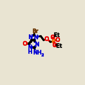 CCOP(=O)(COCCn1c(Br)nc2c(=O)[nH]c(N)nc21)OCC